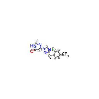 Cc1nc(-n2cnc(C(C)c3ccc(C(F)(F)F)cc3F)n2)cc(=O)[nH]1